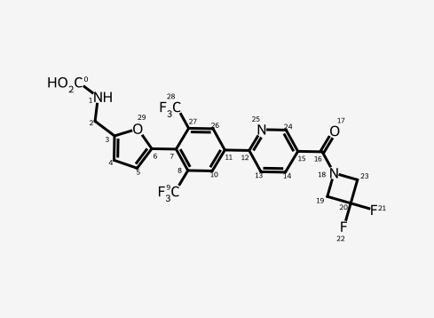 O=C(O)NCc1ccc(-c2c(C(F)(F)F)cc(-c3ccc(C(=O)N4CC(F)(F)C4)cn3)cc2C(F)(F)F)o1